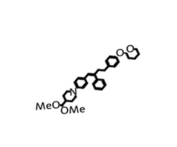 COC(OC)C1CCN(c2ccc(C=C(CCc3ccc(O[C@@H]4CCCCO4)cc3)c3ccccc3)cc2)CC1